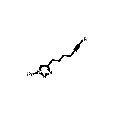 CC(C)C#CCCCCc1cn(C(C)C)nn1